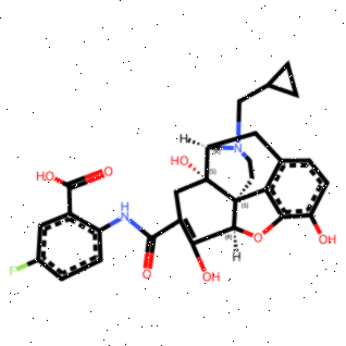 O=C(Nc1ccc(F)cc1C(=O)O)C1=C(O)[C@@H]2Oc3c(O)ccc4c3[C@@]23CCN(CC2CC2)[C@H](C4)[C@]3(O)C1